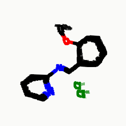 [Cl-].[Cl-].[Ti+2][O]c1ccccc1C=Nc1ccccn1